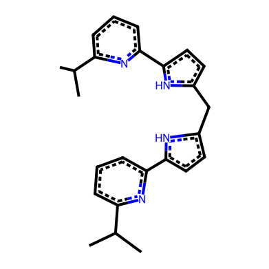 CC(C)c1cccc(-c2ccc(Cc3ccc(-c4cccc(C(C)C)n4)[nH]3)[nH]2)n1